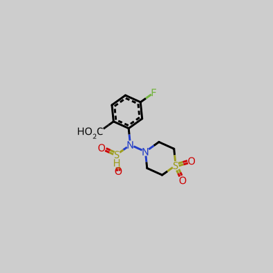 O=C(O)c1ccc(F)cc1N(N1CCS(=O)(=O)CC1)[SH](=O)=O